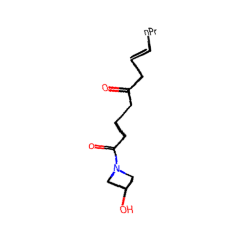 CCCC=CCC(=O)CCCC(=O)N1CC(O)C1